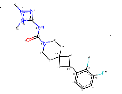 Cn1nc(NC(=O)N2CCC3(CC2)CC(c2cccc(F)c2F)C3)n1C